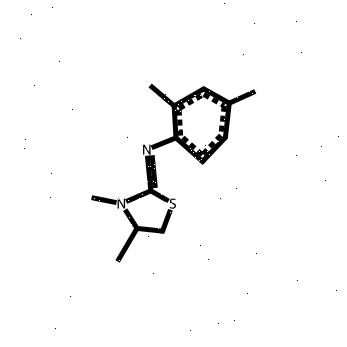 Cc1ccc(N=C2SCC(C)N2C)c(C)c1